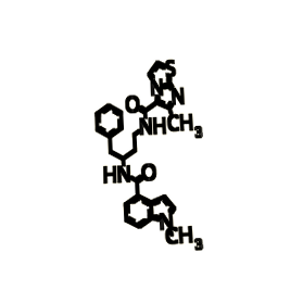 Cc1nc2sccn2c1C(=O)NCCC(Cc1ccccc1)NC(=O)c1cccc2c1ccn2C